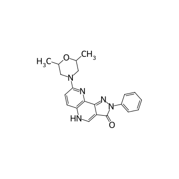 CC1CN(c2ccc3[nH]cc4c(=O)n(-c5ccccc5)nc-4c3n2)CC(C)O1